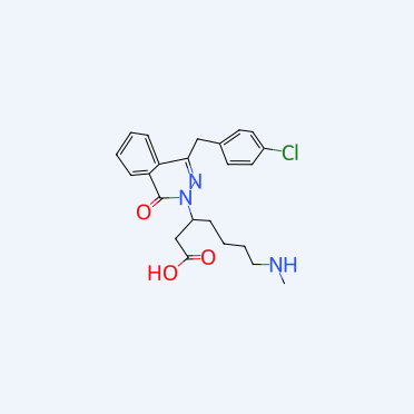 CNCCCCC(CC(=O)O)n1nc(Cc2ccc(Cl)cc2)c2ccccc2c1=O